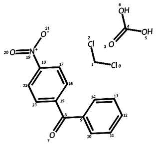 ClCCl.O=C(O)O.O=C(c1ccccc1)c1ccc([N+](=O)[O-])cc1